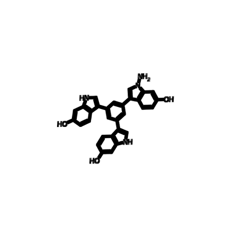 Nn1cc(-c2cc(-c3c[nH]c4cc(O)ccc34)cc(-c3c[nH]c4cc(O)ccc34)c2)c2ccc(O)cc21